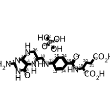 Nc1nc2c(c(=O)[nH]1)NC(CNc1ccc(C(=O)NC(CCC(=O)O)C(=O)O)cc1)CN2.O=P(O)(O)O